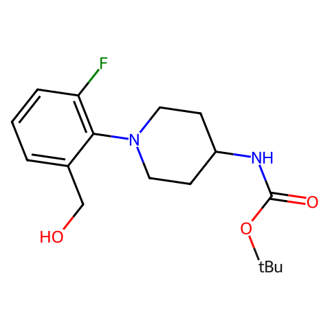 CC(C)(C)OC(=O)NC1CCN(c2c(F)cccc2CO)CC1